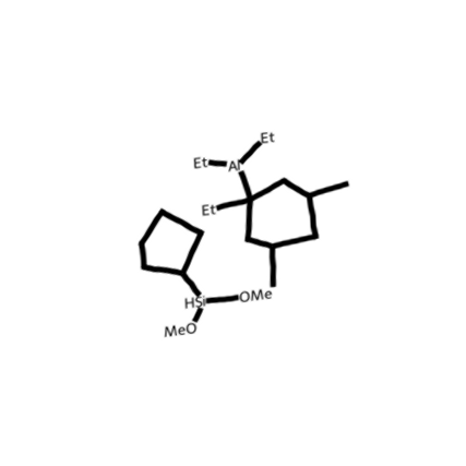 CO[SiH](OC)C1CCCC1.C[CH2][Al]([CH2]C)[C]1(CC)CC(C)CC(C)C1